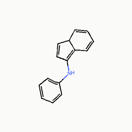 C1=CC2=C(Nc3ccccc3)C=CC2C=C1